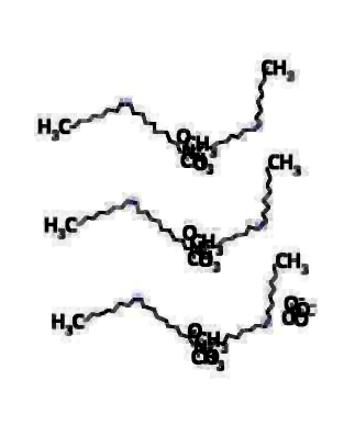 CCCCCCCC/C=C\CCCCCCCC(=O)C[N+](C)(C)C(=O)CCCCCCC/C=C\CCCCCCCC.CCCCCCCC/C=C\CCCCCCCC(=O)C[N+](C)(C)C(=O)CCCCCCC/C=C\CCCCCCCC.CCCCCCCC/C=C\CCCCCCCC(=O)C[N+](C)(C)C(=O)CCCCCCC/C=C\CCCCCCCC.O=P([O-])([O-])[O-]